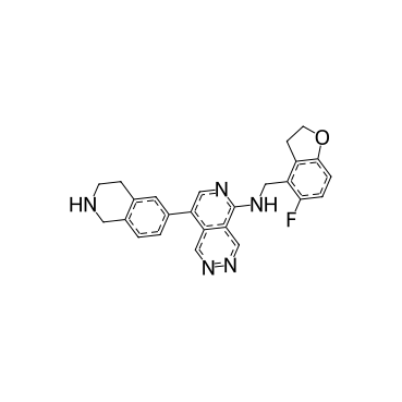 Fc1ccc2c(c1CNc1ncc(-c3ccc4c(c3)CCNC4)c3cnncc13)CCO2